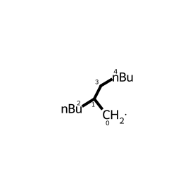 [CH2]C(CCCC)CCCCC